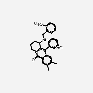 COc1ccccc1CNC1CCCn2c1c(-c1ccccc1)c1cc(C)c(C)cc1c2=O.Cl